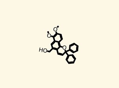 COc1ccc2c3c(c(CO)cc2c1OC)C=CC(c1ccccc1)(c1ccccc1)O3